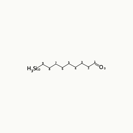 O=CCCCCCCCC[SiH3]